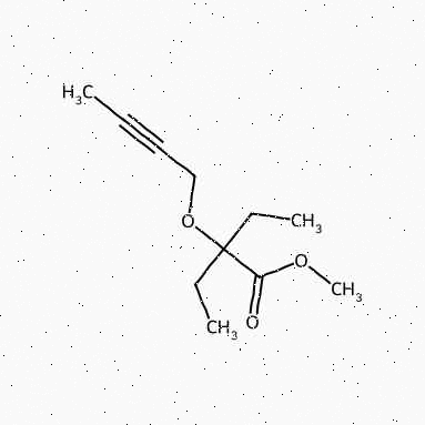 CC#CCOC(CC)(CC)C(=O)OC